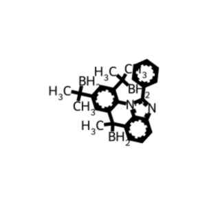 BC(C)(C)c1cc(C(B)(C)C)c2c(c1)C(B)(C)c1cccc3nc(-c4ccccc4)n-2c13